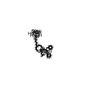 CC(C)CC(NC(=O)[C@@H](Cc1ccccc1)NC(=O)c1cnccn1)B1OCCCN(CCCCOC(=O)NC(P(=O)(O)O)P(=O)(O)O)CCCO1